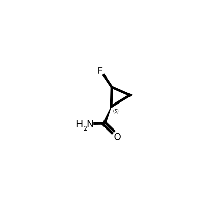 NC(=O)[C@@H]1CC1F